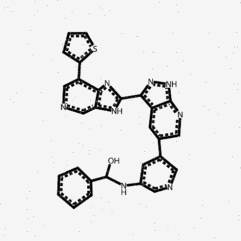 OC(Nc1cncc(-c2cnc3[nH]nc(-c4nc5c(-c6cccs6)cncc5[nH]4)c3c2)c1)c1ccccc1